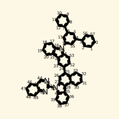 c1ccc(-c2cc(-c3ccccc3)cc(-n3c4ccccc4c4cc(-c5cc6c(c7ccccc57)c5ccccc5n6-c5ncc6ccccc6n5)ccc43)c2)cc1